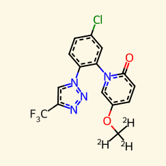 [2H]C([2H])([2H])Oc1ccc(=O)n(-c2cc(Cl)ccc2-n2cc(C(F)(F)F)nn2)c1